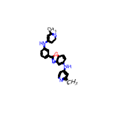 CC1=NCCC(Nc2cccc(-c3nc4cc(Nc5ccnc(C)c5)ccc4o3)c2)=C1